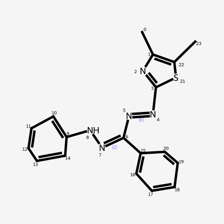 Cc1nc(/N=N/C(=N\Nc2ccccc2)c2ccccc2)sc1C